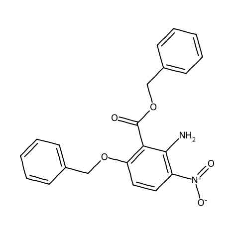 Nc1c([N+](=O)[O-])ccc(OCc2ccccc2)c1C(=O)OCc1ccccc1